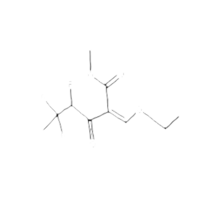 CCOC=C(C(=O)OC)C(=O)C(F)C(F)(F)F